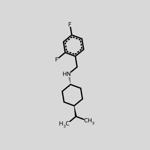 CC(C)[C@H]1CC[C@H](NCc2ccc(F)cc2F)CC1